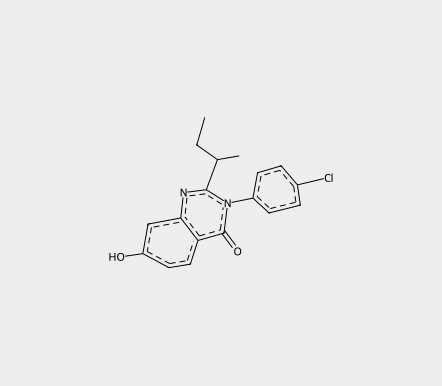 CCC(C)c1nc2cc(O)ccc2c(=O)n1-c1ccc(Cl)cc1